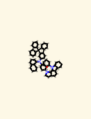 c1ccc(-n2c3ccccc3c3ccc4ccn(-c5ccc(N(c6ccc7c(c6)C(c6ccccc6)(c6ccccc6)c6ccccc6-7)c6cccc7ccccc67)cc5)c4c32)cc1